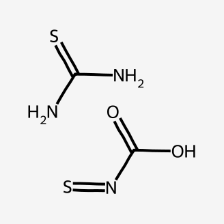 NC(N)=S.O=C(O)N=S